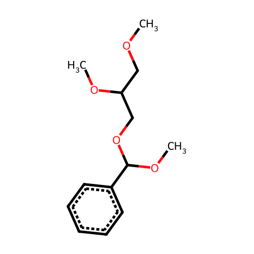 COCC(COC(OC)c1ccccc1)OC